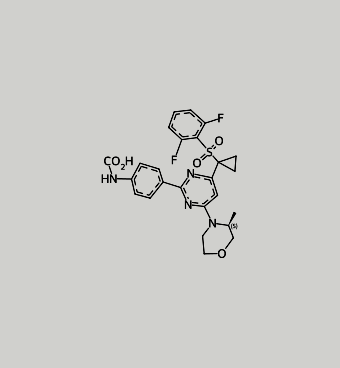 C[C@H]1COCCN1c1cc(C2(S(=O)(=O)c3c(F)cccc3F)CC2)nc(-c2ccc(NC(=O)O)cc2)n1